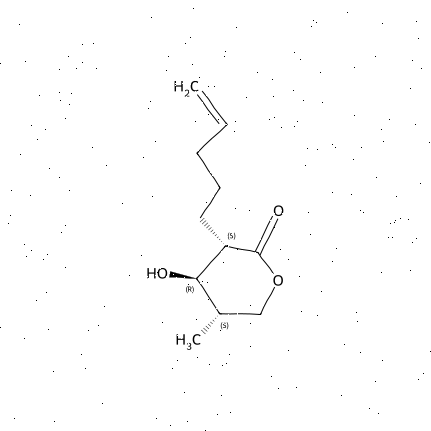 C=CCCC[C@@H]1C(=O)OC[C@H](C)[C@H]1O